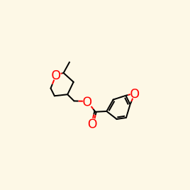 CC1CC(COC(=O)c2ccc3c(c2)O3)CCO1